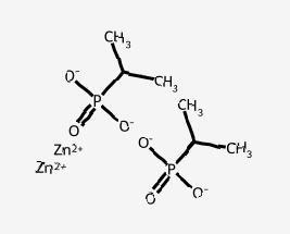 CC(C)P(=O)([O-])[O-].CC(C)P(=O)([O-])[O-].[Zn+2].[Zn+2]